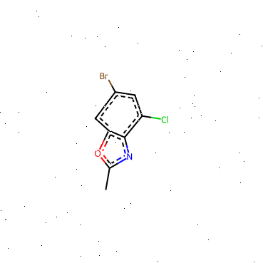 Cc1nc2c(Cl)cc(Br)cc2o1